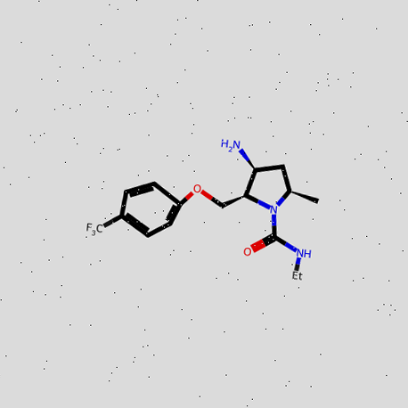 CCNC(=O)N1[C@H](C)C[C@H](N)[C@@H]1COc1ccc(C(F)(F)F)cc1